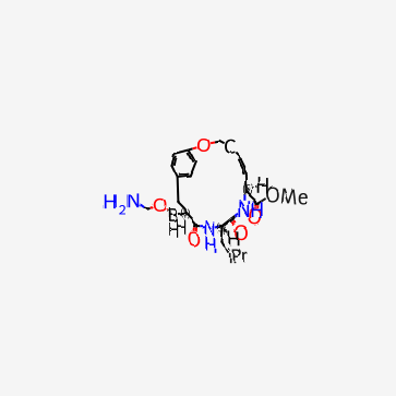 COC(=O)[C@@H]1C=CCCOc2ccc(cc2)C[C@H](BOCN)C(=O)N[C@@H](CC(C)C)C(=O)N1